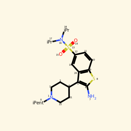 CCCC(C)N1CCC(c2c(N)sc3ccc(S(=O)(=O)N(C(C)C)C(C)C)cc23)CC1